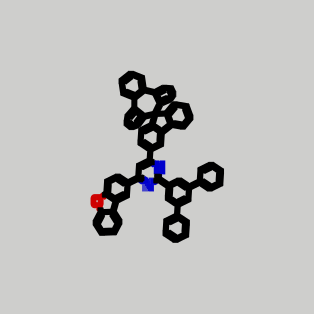 c1ccc(-c2cc(-c3ccccc3)cc(-c3nc(-c4ccc5c(c4)-c4ccccc4C54c5ccccc5-c5ccccc5-c5ccccc54)cc(-c4ccc5oc6ccccc6c5c4)n3)c2)cc1